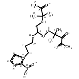 CC(=O)C(=O)C(C)(C)NOC(CNC(C)(C)C(C)=O)OCCCn1ccnc1[N+](=O)[O-]